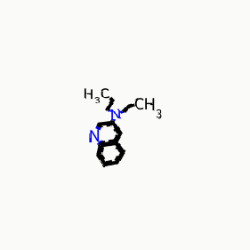 CCCN(CCC)c1cnc2ccccc2c1